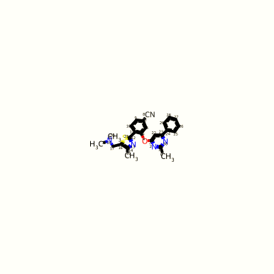 Cc1nc(Oc2cc(C#N)ccc2-c2nc(C)c(CN(C)C)s2)cc(-c2ccccc2)n1